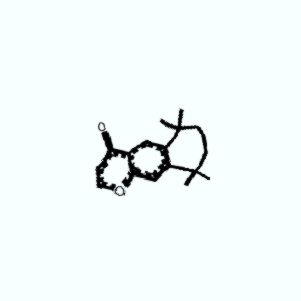 CC1(C)CCC(C)(C)c2cc3c(=O)ccoc3cc21